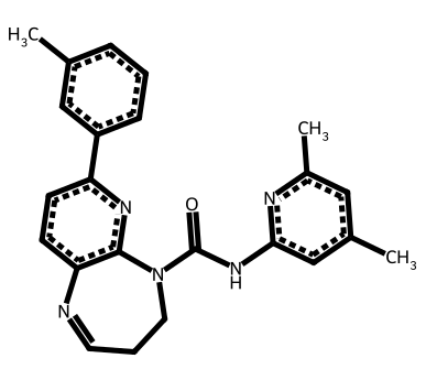 Cc1cccc(-c2ccc3c(n2)N(C(=O)Nc2cc(C)cc(C)n2)CCC=N3)c1